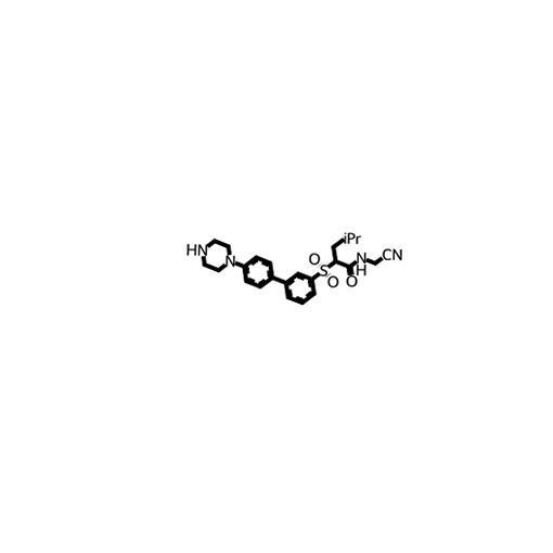 CC(C)CC(C(=O)NCC#N)S(=O)(=O)c1cccc(-c2ccc(N3CCNCC3)cc2)c1